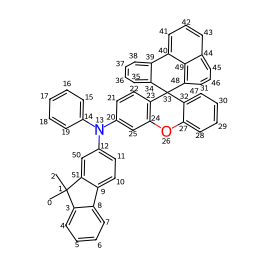 CC1(C)c2ccccc2-c2ccc(N(c3ccccc3)c3ccc4c(c3)Oc3ccccc3C43c4ccccc4-c4cccc5cccc3c45)cc21